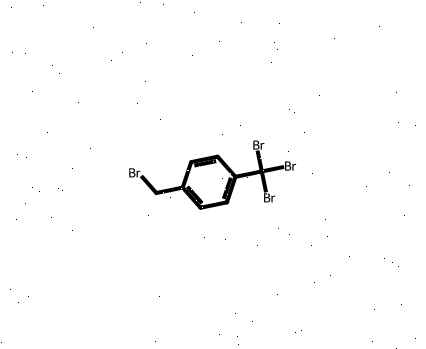 BrCc1ccc(C(Br)(Br)Br)cc1